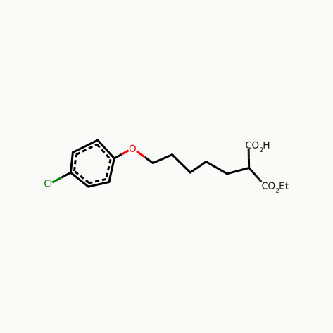 CCOC(=O)C(CCCCCOc1ccc(Cl)cc1)C(=O)O